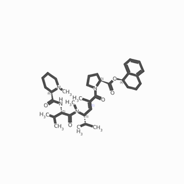 C/C(=C\[C@H](C(C)C)N(C)C(=O)[C@@H](NC(=O)[C@H]1CCCCN1C)C(C)C)C(=O)N1CCC[C@H]1C(=O)O[C@@H]1CCCc2ccccc21